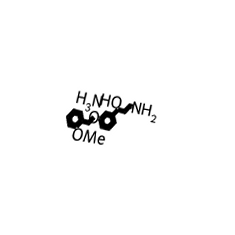 COc1ccccc1COc1cccc(C(O)CCN)c1.N